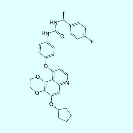 C[C@H](NC(=O)Nc1ccc(Oc2ccnc3cc(OC4CCCC4)c4c(c23)OCCO4)cc1)c1ccc(F)cc1